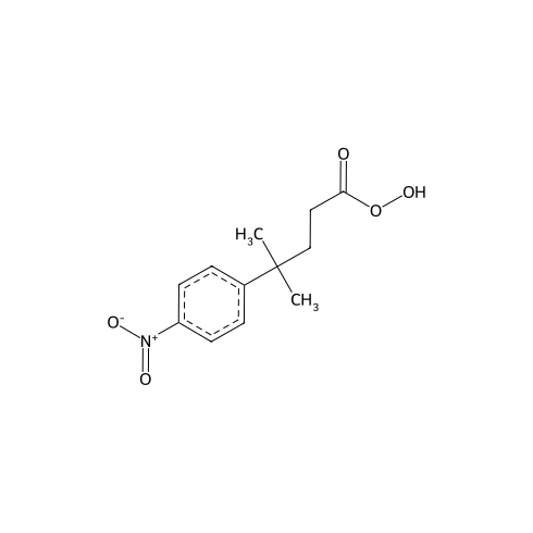 CC(C)(CCC(=O)OO)c1ccc([N+](=O)[O-])cc1